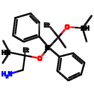 CCC(CN)(O[Si](c1ccccc1)(c1ccccc1)C(C)(CC)O[SiH](C)C)[SiH](C)C